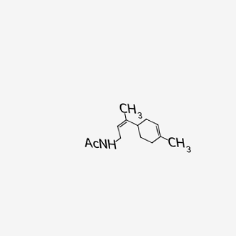 CC(=O)NC/C=C(/C)C1CC=C(C)CC1